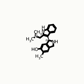 Cc1cc2c(cc1O)[C@@H](c1c(CN(C)C)[nH]c3ccccc13)NC2